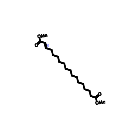 COC(=O)/C=C/CCCCCCCCCCCCCCC(=O)OC